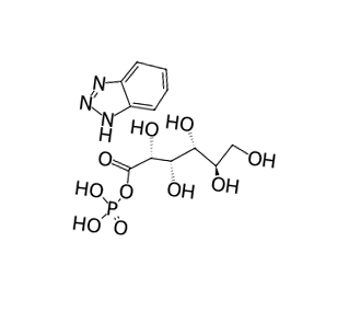 O=C(OP(=O)(O)O)[C@H](O)[C@@H](O)[C@H](O)[C@H](O)CO.c1ccc2[nH]nnc2c1